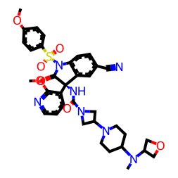 COc1ccc(S(=O)(=O)N2C(=O)[C@@](NC(=O)N3CC(N4CCC(N(C)C5COC5)CC4)C3)(c3cccnc3OC)c3cc(C#N)ccc32)cc1